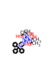 CC(O)N(c1nc(N2CCN(C(c3ccccc3)(c3ccccc3)c3ccccc3)CC2)nc(N(C(C)O)C(C)O)n1)C(C)O